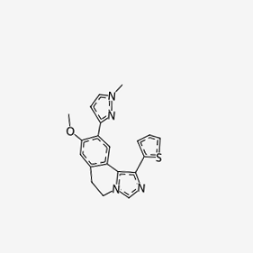 COc1cc2c(cc1-c1ccn(C)n1)-c1c(-c3cccs3)ncn1CC2